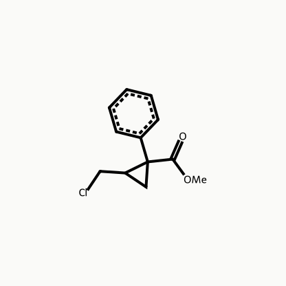 COC(=O)C1(c2ccccc2)CC1CCl